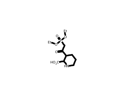 CCOP(=O)(CC(=O)C1CCCNC1C(=O)O)OCC